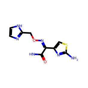 [NH]C(=O)/C(=N\OCc1ncc[nH]1)c1csc(N)n1